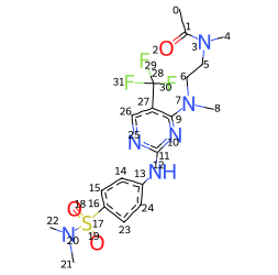 CC(=O)N(C)CCN(C)c1nc(Nc2ccc(S(=O)(=O)N(C)C)cc2)ncc1C(F)(F)F